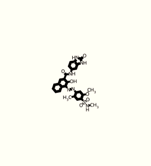 CNS(=O)(=O)c1cc(C)c(N=Nc2c(O)c(C(=O)Nc3ccc4[nH]c(=O)[nH]c4c3)cc3ccccc23)cc1OC